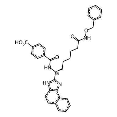 O=C(CCCCC[C@H](NC(=O)c1ccc(C(=O)O)cc1)c1nc2c(ccc3ccccc32)[nH]1)NOCc1ccccc1